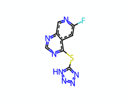 Fc1cc2c(Sc3nnn[nH]3)ncnc2cn1